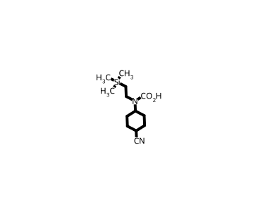 C[Si](C)(C)CCN(C(=O)O)C1CCC(C#N)CC1